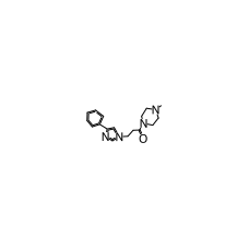 CN1CCN(C(=O)CCn2cnc(-c3ccccc3)c2)CC1